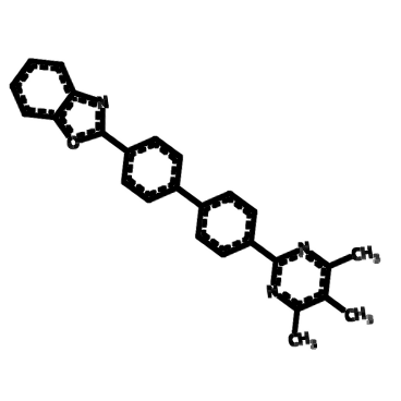 Cc1nc(-c2ccc(-c3ccc(-c4nc5ccccc5o4)cc3)cc2)nc(C)c1C